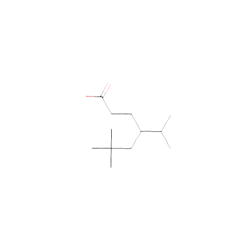 CC(C)C(CCC(=O)O)CC(C)(C)C